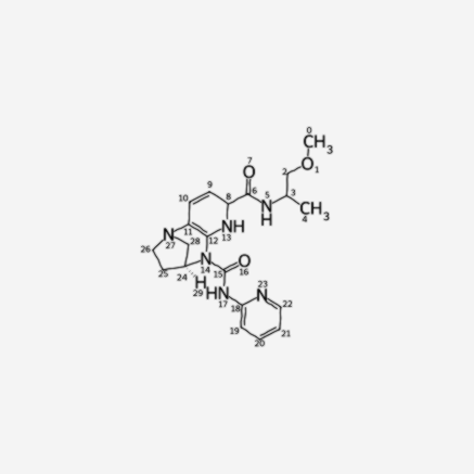 COCC(C)NC(=O)C1C=CC2=C(N1)N(C(=O)Nc1ccccn1)[C@H]1CCN2C1